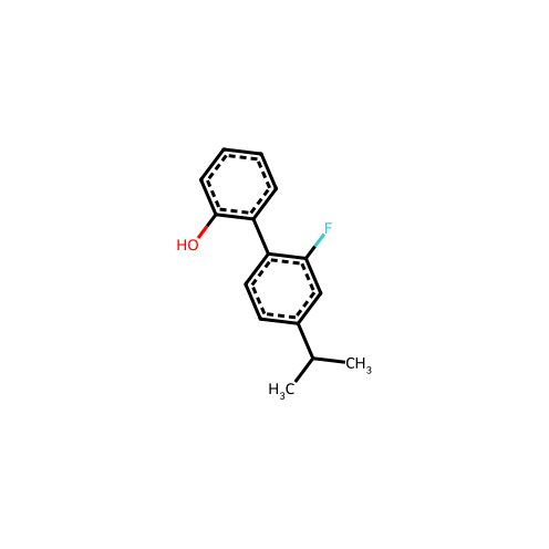 CC(C)c1ccc(-c2ccccc2O)c(F)c1